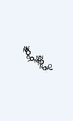 C=CC(=O)N1C[C@H](N(C)c2ccc3ncnc(Nc4ccc(Oc5ccc6c(c5)nnn6C)c(C)c4)c3n2)C[C@H]1C